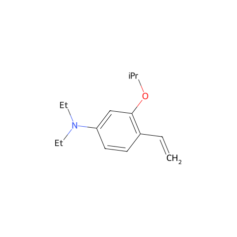 C=Cc1ccc(N(CC)CC)cc1OC(C)C